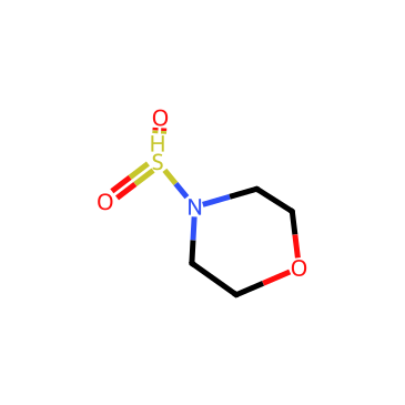 O=[SH](=O)N1CCOCC1